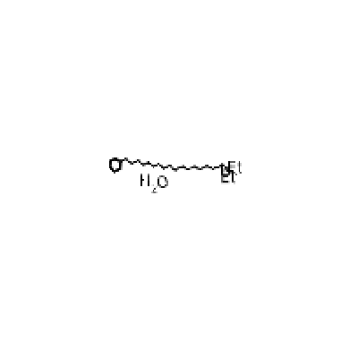 CCN(CC)CCCCCCCCCCCCCCCCCc1ccccc1.O